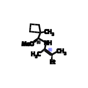 CC/C(C)=C(\C)N[C@@H](OC)C1(C)CCC1